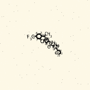 C[C@@H](c1ccc(C(F)(F)F)cc1C(F)(F)F)n1cc(NC(=O)c2nnc(-c3ccco3)s2)cn1